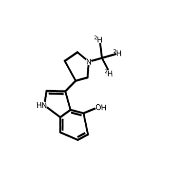 [2H]C([2H])([2H])N1CCC(c2c[nH]c3cccc(O)c23)C1